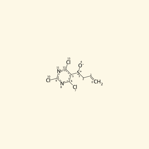 C=CC[S+]([O-])c1c(Cl)nc(Cl)nc1Cl